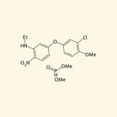 CCNc1cc(Oc2ccc(OC)c(Cl)c2)ccc1[N+](=O)[O-].CO[PH](=O)OC